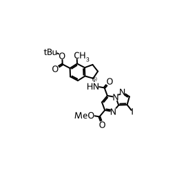 COC(=O)c1cc(C(=O)N[C@H]2CCc3c2ccc(C(=O)OC(C)(C)C)c3C)n2ncc(I)c2n1